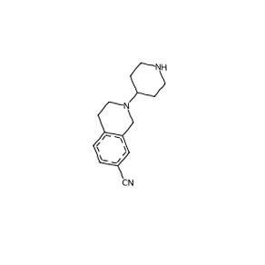 N#Cc1ccc2c(c1)CN(C1CCNCC1)CC2